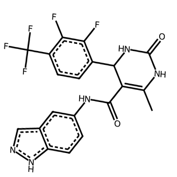 CC1=C(C(=O)Nc2ccc3[nH]ncc3c2)C(c2ccc(C(F)(F)F)c(F)c2F)NC(=O)N1